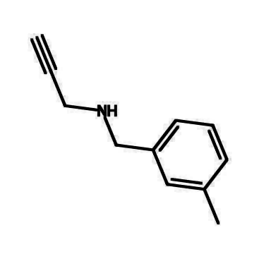 C#CCNCc1cccc(C)c1